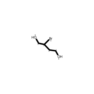 OCCC(Br)CO